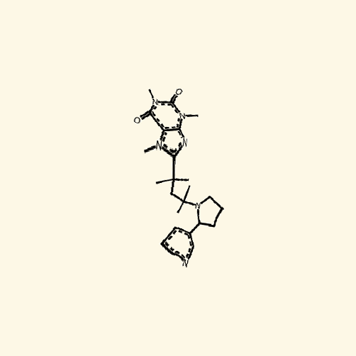 Cn1c(=O)c2c(nc(C(C)(C)CC(C)(C)N3CCCC3c3cccnc3)n2C)n(C)c1=O